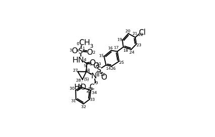 CS(=O)(=O)NC(=O)[C@@]1(N(CC(=O)O)S(=O)(=O)c2ccc(-c3ccc(Cl)cc3)cc2)C[C@H]1c1ccccc1